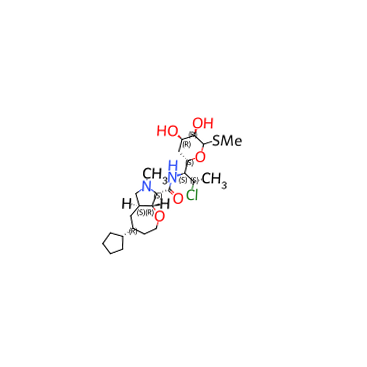 CSC1O[C@H]([C@H](NC(=O)[C@@H]2[C@@H]3OCC[C@H](C4CCCC4)C[C@H]3CN2C)[C@H](C)Cl)C[C@@H](O)[C@H]1O